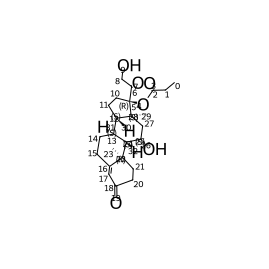 CCC(=O)O[C@]1(C(=O)CO)CC[C@H]2[C@@H]3CCC4=CC(=O)CC[C@]4(C)[C@H]3[C@@H](O)C[C@@]21C